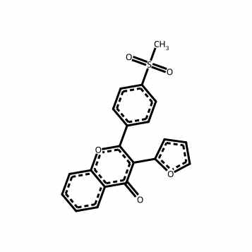 CS(=O)(=O)c1ccc(-c2oc3ccccc3c(=O)c2-c2ccco2)cc1